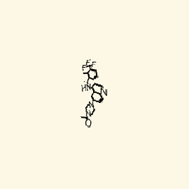 CC(=O)N1CCN(c2ccc3nccc(N[C@H](C)c4cccc(C(F)(F)F)c4C)c3c2)CC1